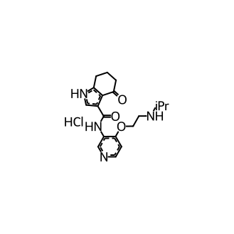 CC(C)NCCOc1ccncc1NC(=O)c1c[nH]c2c1C(=O)CCC2.Cl